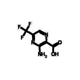 Nc1nc(C(F)(F)F)cnc1C(=O)O